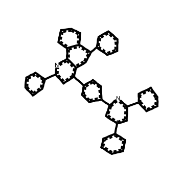 c1ccc(-c2cc(-c3ccccc3)nc(-c3ccc(-c4cc(-c5ccccc5)nc5c4cc(-c4ccccc4)c4ccccc45)cc3)c2)cc1